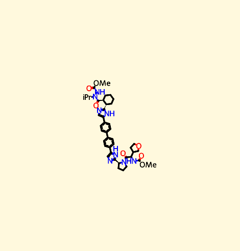 COC(=O)NC(C(=O)N1CCC[C@H]1c1ncc(-c2ccc(-c3ccc(-c4cnc([C@H]5CCCC[C@@H]5C(=O)N(NC(=O)OC)C(C)C)[nH]4)cc3)cc2)[nH]1)C1CCOC1